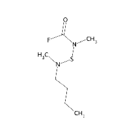 CCCCN(C)SN(C)C(=O)F